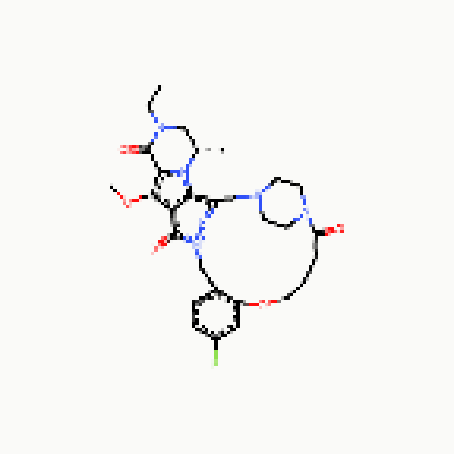 CCN1C[C@H](C)n2c(c(OC)c3c(=O)n4nc(c32)N2CCN(CC2)C(=O)CCCOc2cc(F)ccc2C4)C1=O